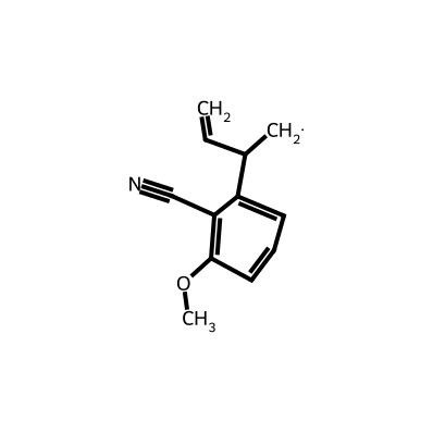 [CH2]C(C=C)c1cccc(OC)c1C#N